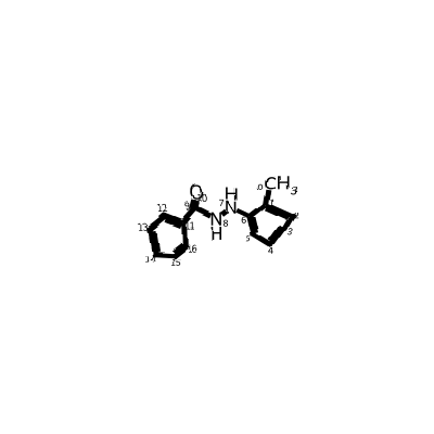 Cc1ccccc1NNC(=O)c1ccccc1